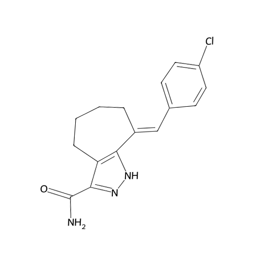 NC(=O)c1n[nH]c2c1CCCC/C2=C\c1ccc(Cl)cc1